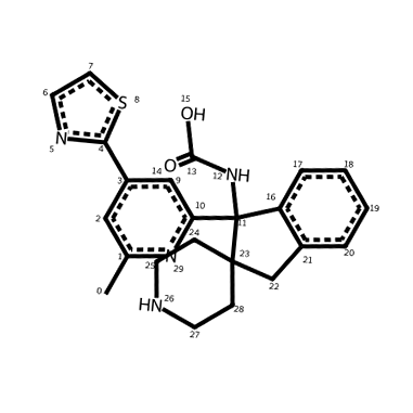 Cc1cc(-c2nccs2)cc(C2(NC(=O)O)c3ccccc3CC23CCNCC3)n1